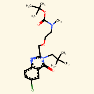 CN(CCOCc1nc2ccc(Cl)cc2c(=O)n1CC(C)(C)C)C(=O)OC(C)(C)C